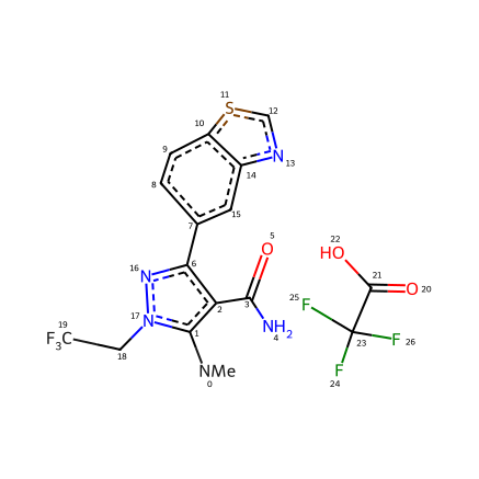 CNc1c(C(N)=O)c(-c2ccc3scnc3c2)nn1CC(F)(F)F.O=C(O)C(F)(F)F